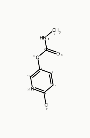 CNC(=O)Oc1ccc(Cl)nc1